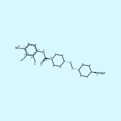 CCCCCCC[C@H]1CC[C@H](CC[C@H]2CC[C@H](C(=O)Oc3ccc(C#N)c(F)c3F)CC2)CC1